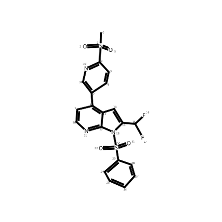 CS(=O)(=O)c1ccc(-c2ccnc3c2cc(C(F)F)n3S(=O)(=O)c2ccccc2)cn1